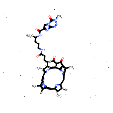 CC[C@@H]1C2Cc3[nH]c4c(c3C)C(=O)C(C(=O)OC)/C4=C3N=C(/C=c4\[nH]/c(c(C(C)=O)c4C)=C\C(=N2)[C@H]1C)[C@H](C)[C@H]/3CCCC(=O)NCCCC(NC(=O)c1cn2c(=O)n(C)nnc2n1)C(=O)O